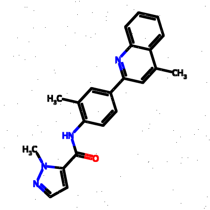 Cc1cc(-c2cc(C)c3ccccc3n2)ccc1NC(=O)c1ccnn1C